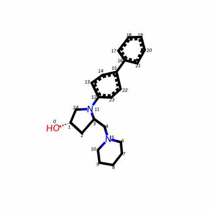 O[C@H]1CC(CN2CCCCC2)N(c2ccc(-c3ccccc3)cc2)C1